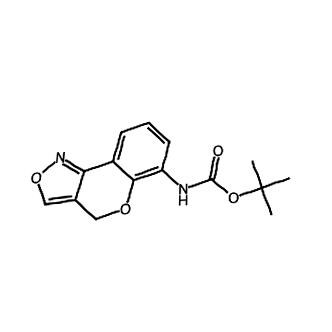 CC(C)(C)OC(=O)Nc1cccc2c1OCc1conc1-2